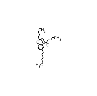 CCCCCCc1ccc(OC(=O)CCCC)c(OC(=O)CCCC)c1